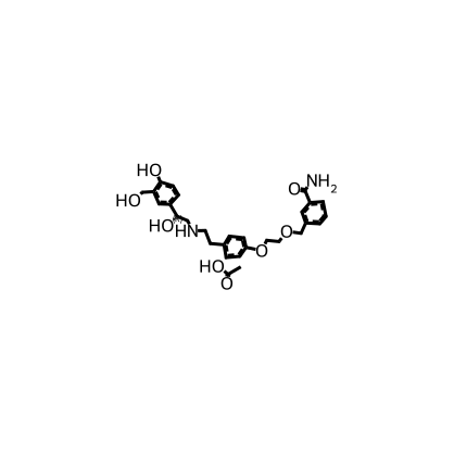 CC(=O)O.NC(=O)c1cccc(COCCOc2ccc(CCNC[C@H](O)c3ccc(O)c(CO)c3)cc2)c1